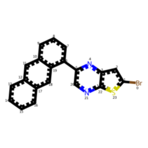 Brc1cc2nc(-c3cccc4cc5ccccc5cc34)cnc2s1